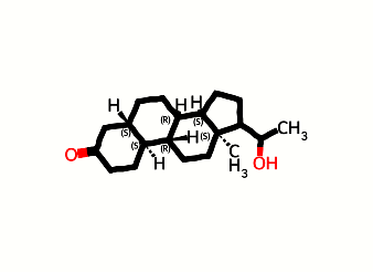 CC(O)C1CC[C@H]2[C@@H]3CC[C@H]4CC(=O)CC[C@@H]4[C@H]3CC[C@]12C